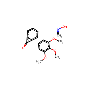 C=NO.COc1cccc(OC)c1OC.O=c1c2ccccc12